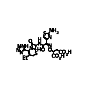 CCC1=C(c2nnn[nH]2)N2C(=O)[C@@H](NC(=O)/C(=N\O[C@@H](CC(=O)O)C(=O)O)c3csc(N)n3)[C@H]2SC1